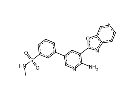 CNS(=O)(=O)c1cccc(-c2cnc(N)c(-c3nc4ccncc4o3)c2)c1